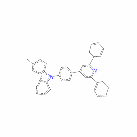 Cc1ccc2c(c1)c1ccccc1n2-c1ccc(-c2cc(C3=CC=CCC3)nc(C3C=CC=CC3)c2)cc1